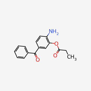 CCC(=O)Oc1cc(C(=O)c2ccccc2)ccc1N